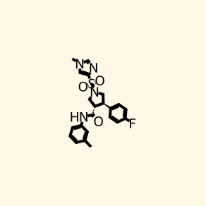 Cc1cccc(NC(=O)[C@@H]2CN(S(=O)(=O)c3cn(C)cn3)C[C@H]2c2ccc(F)cc2)c1